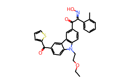 CCOCCn1c2ccc(C(=O)/C(=N\O)c3ccccc3C)cc2c2cc(C(=O)c3cccs3)ccc21